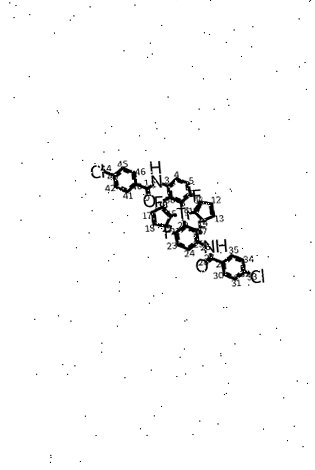 O=C(Nc1ccc(F)[c]([Ti]([C]2=CC=CC2)([C]2=CC=CC2)[c]2c(F)ccc(NC(=O)c3ccc(Cl)cc3)c2F)c1F)c1ccc(Cl)cc1